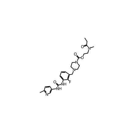 CCC(=O)N(C)CCOC(=O)N1CCN(Cc2cccc(NC(=O)Nc3ccc(C)nc3)c2F)CC1